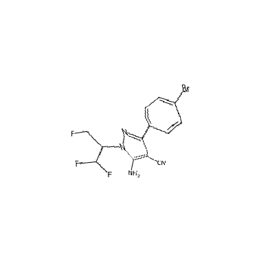 N#Cc1c(-c2ccc(Br)cc2)nn(C(CF)C(F)F)c1N